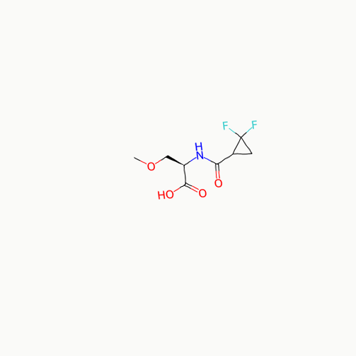 COC[C@@H](NC(=O)C1CC1(F)F)C(=O)O